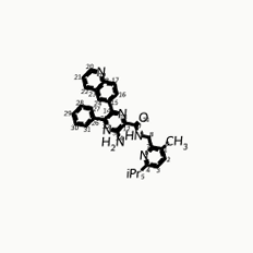 Cc1ccc(C(C)C)nc1CNC(=O)c1nc(-c2ccc3ncccc3c2)c(-c2ccccc2)nc1N